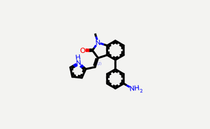 CN1C(=O)/C(=C\c2ccc[nH]2)c2c(-c3cccc(N)c3)cccc21